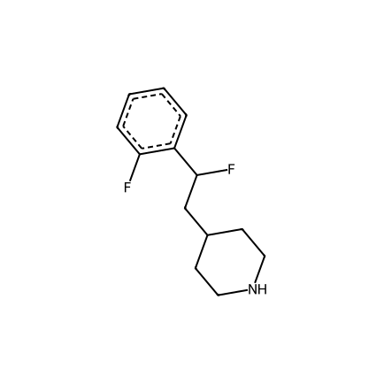 Fc1ccccc1C(F)CC1CCNCC1